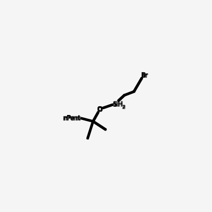 CCCCCC(C)(C)O[SiH2]CCBr